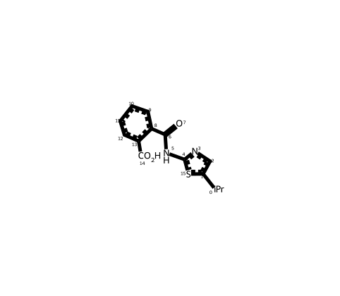 CC(C)c1cnc(NC(=O)c2ccccc2C(=O)O)s1